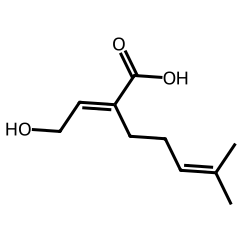 CC(C)=CCC/C(=C\CO)C(=O)O